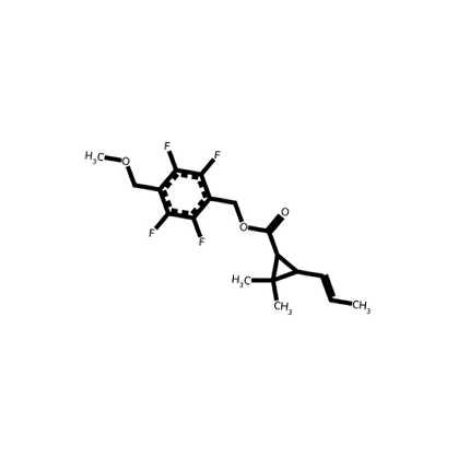 CC=CC1C(C(=O)OCc2c(F)c(F)c(COC)c(F)c2F)C1(C)C